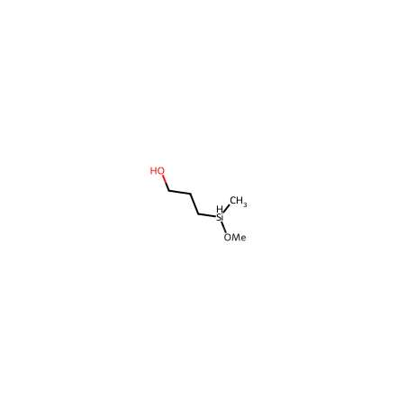 CO[SiH](C)CCCO